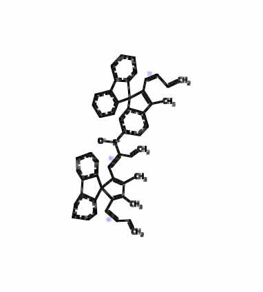 C=C/C=C\C1=C(C)C(C)=C(/C=C(\C=C)[S+]([O-])c2ccc3c(c2)C2(C(/C=C\C=C)=C3C)c3ccccc3-c3ccccc32)C12c1ccccc1-c1ccccc12